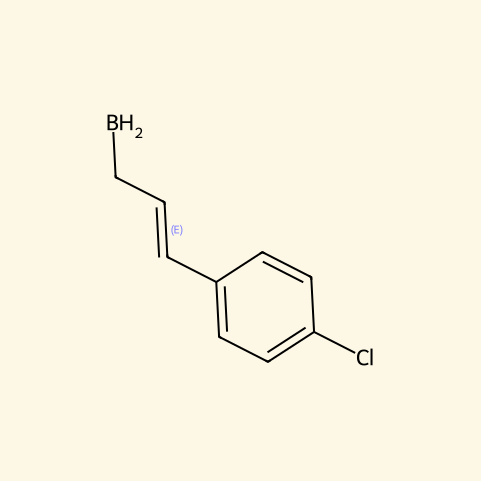 BC/C=C/c1ccc(Cl)cc1